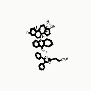 C[C@]12CC[C@@H]3c4ccc(O)cc4CC[C@H]3[C@@H]1CC[C@@H]2O.Nc1c2c(nc3ccccc13)CCCC2.O=C(O)CCc1nc(-c2ccccc2)c(-c2ccccc2)o1